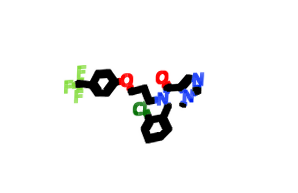 Cn1cncc1C(=O)N(CCCOc1ccc(C(F)(F)F)cc1)Cc1ccccc1Cl